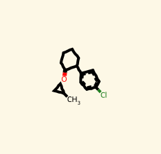 CC1CC1.O=C1CCCCC1c1ccc(Cl)cc1